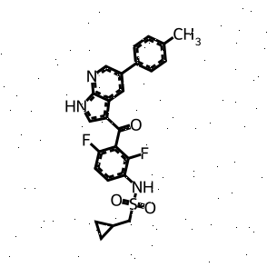 Cc1ccc(-c2cnc3[nH]cc(C(=O)c4c(F)ccc(NS(=O)(=O)CC5CC5)c4F)c3c2)cc1